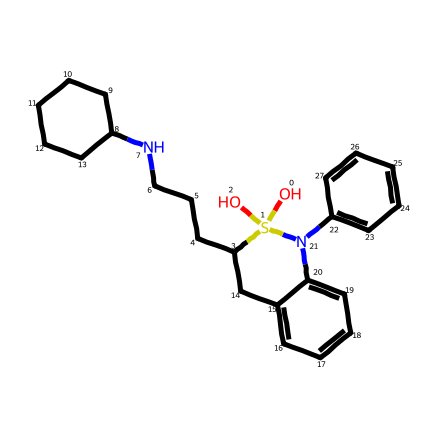 OS1(O)C(CCCNC2CCCCC2)Cc2ccccc2N1c1ccccc1